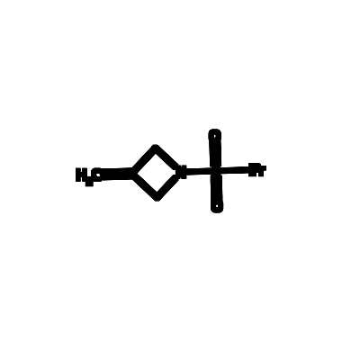 C=C1CN(S(=O)(=O)C(C)C)C1